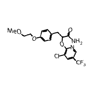 COCCOc1ccc(CC(Oc2ncc(C(F)(F)F)cc2Cl)C(N)=O)cc1